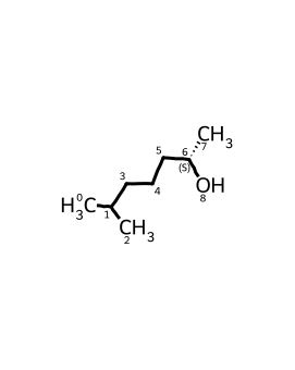 CC(C)CCC[C@H](C)O